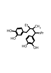 CCCC(c1ccc(O)c(O)c1)C(C)C(CC)Cc1ccc(O)c(O)c1